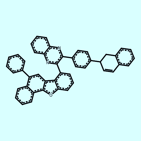 C1=CC(c2ccc(-c3nc4ccccc4nc3-c3cccc4oc5c6ccccc6c(-c6ccccc6)cc5c34)cc2)Cc2ccccc21